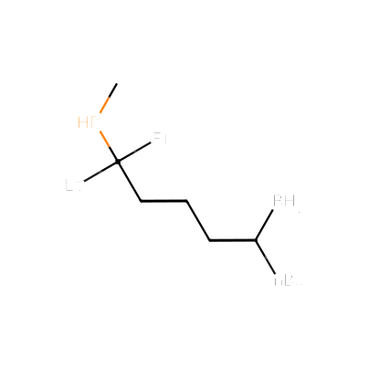 BC(CCCC)CCCC(CC)(CC)PC